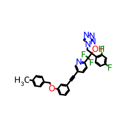 Cc1ccc(COc2cccc(C#Cc3ccc(C(F)(F)C(O)(Cn4cnnn4)c4ccc(F)cc4F)nc3)c2)cc1